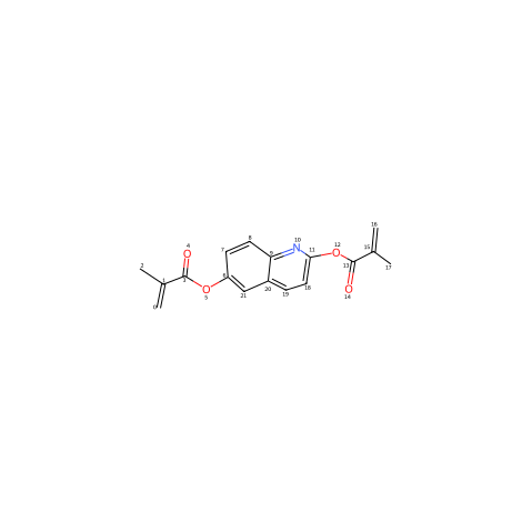 C=C(C)C(=O)Oc1ccc2nc(OC(=O)C(=C)C)ccc2c1